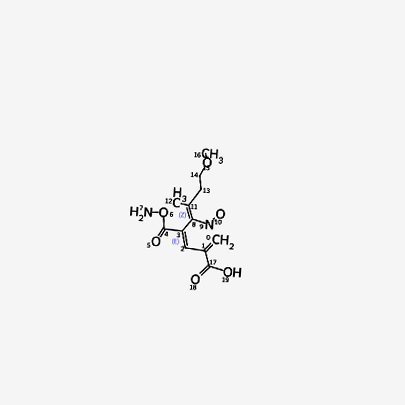 C=C(/C=C(C(=O)ON)\C(N=O)=C(/C)CCOC)C(=O)O